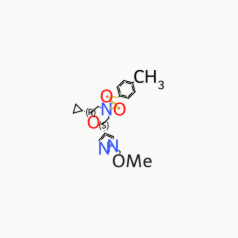 COCn1cc([C@H]2CN(S(=O)(=O)c3ccc(C)cc3)C[C@@H](C3CC3)O2)cn1